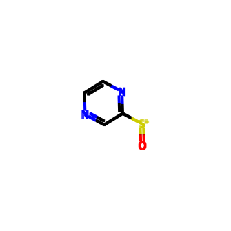 O=[S+]c1cnccn1